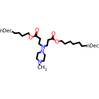 CCCCCCCCCCCCCCCCOC(=O)CCN(CCC(=O)OCCCCCCCCCCCCCC)N1CCN(C)CC1